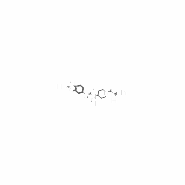 CCCNC(=O)N1CCC(NC(=O)N(c2ccc3nc(S)sc3c2)C(C)C)CC1